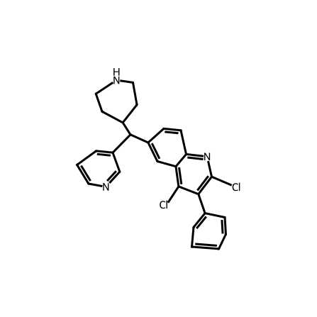 Clc1nc2ccc(C(c3cccnc3)C3CCNCC3)cc2c(Cl)c1-c1ccccc1